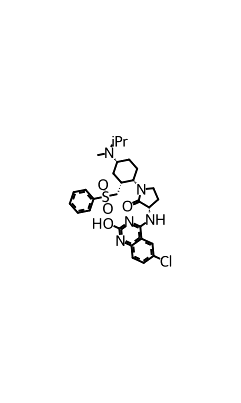 CC(C)N(C)[C@@H]1CC[C@H](N2CC[C@H](Nc3nc(O)nc4ccc(Cl)cc34)C2=O)[C@H](CS(=O)(=O)c2ccccc2)C1